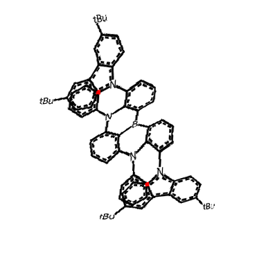 CC(C)(C)c1ccc2c(c1)c1cc(C(C)(C)C)ccc1n2-c1cccc2c1N(c1ccccc1)c1cccc3c1B2c1cccc(-n2c4ccc(C(C)(C)C)cc4c4cc(C(C)(C)C)ccc42)c1N3c1ccccc1